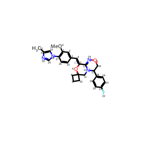 COc1cc(/C=C2\OC3(CCC3)CN3C2=NOCC3c2ccc(F)cc2)ccc1-n1cnc(C)c1